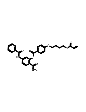 C=CC(=O)OCCCCOc1ccc(C(=O)Oc2cc(NC(=O)c3ccccc3)ccc2C(=O)OC)cc1